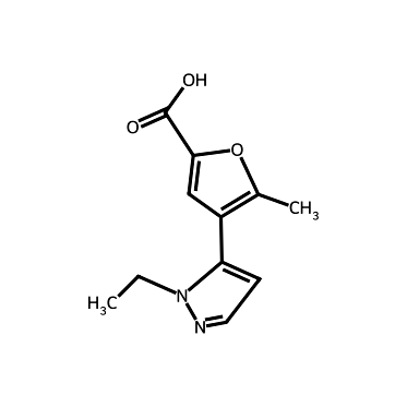 CCn1nccc1-c1cc(C(=O)O)oc1C